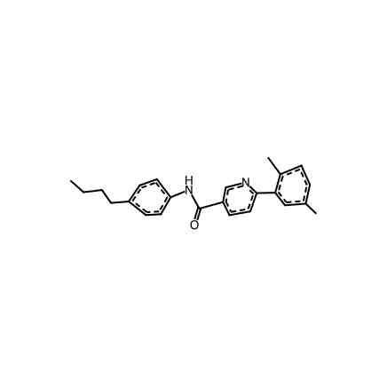 CCCCc1ccc(NC(=O)c2ccc(-c3cc(C)ccc3C)nc2)cc1